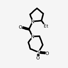 CCC1CCCN1C(=O)N1CCS(=O)(=O)CC1